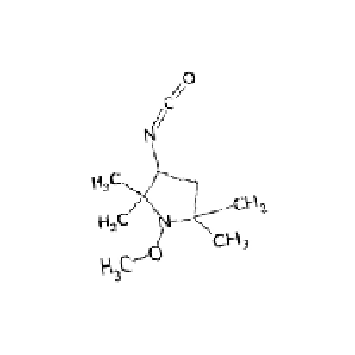 CON1C(C)(C)CC(N=C=O)C1(C)C